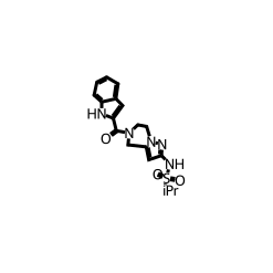 CC(C)S(=O)(=O)Nc1cc2n(n1)CCN(C(=O)c1cc3ccccc3[nH]1)C2